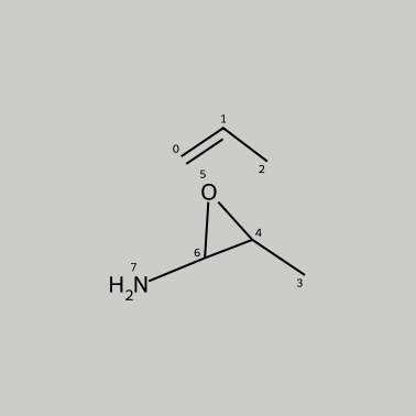 C=CC.CC1OC1N